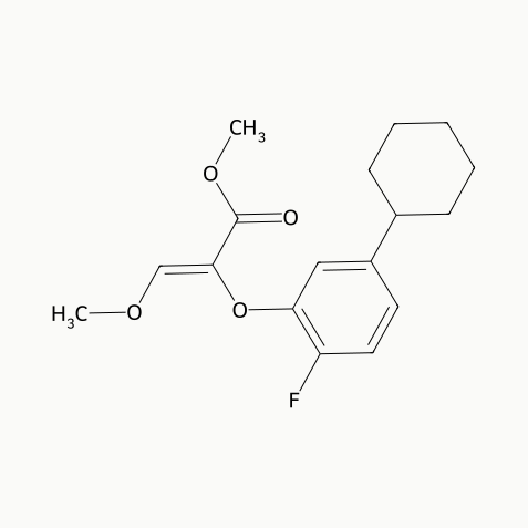 CO/C=C(\Oc1cc(C2CCCCC2)ccc1F)C(=O)OC